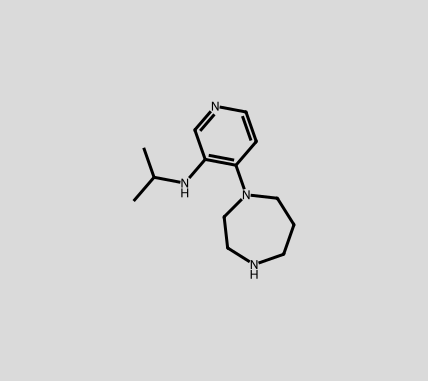 CC(C)Nc1cnccc1N1CCCNCC1